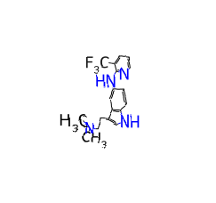 CN(C)CCc1c[nH]c2ccc(Nc3ncccc3C(F)(F)F)cc12